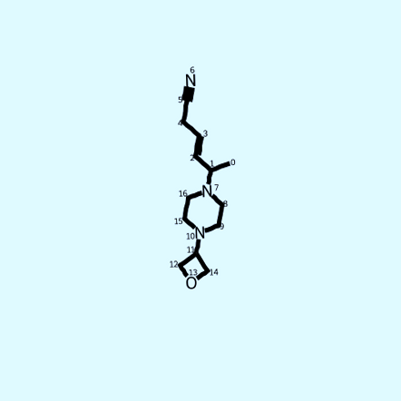 CC(C=CCC#N)N1CCN(C2COC2)CC1